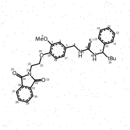 COc1cc(CNC(=S)NC(c2ccccc2)C(C)(C)C)ccc1OCCN1C(=O)c2ccccc2C1=O